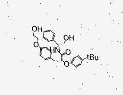 CC(C)(C)c1ccc(O[C@H](Cc2ccc(OCCO)cc2)C(=O)N[C@@H](CO)c2ccccc2)cc1